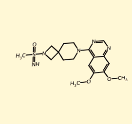 COc1cc2ncnc(N3CCC4(CC3)CN(S(C)(=N)=O)C4)c2cc1OC